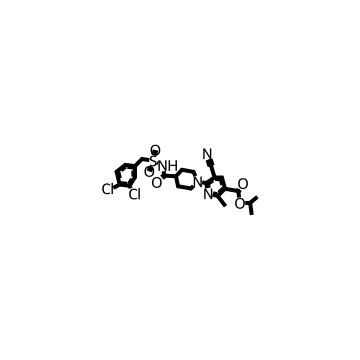 Cc1nc(N2CCC(C(=O)NS(=O)(=O)Cc3ccc(Cl)c(Cl)c3)CC2)c(C#N)cc1C(=O)OC(C)C